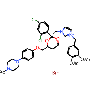 COc1cc(C[n+]2ccn(C[C@]3(c4ccc(Cl)cc4Cl)OCC[C@@H](COc4ccc(N5CCN(C(C)=O)CC5)cc4)O3)c2)ccc1OC(C)=O.[Br-]